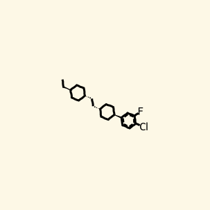 CC[C@H]1CC[C@H](CC[C@H]2CC[C@H](c3ccc(Cl)c(F)c3)CC2)CC1